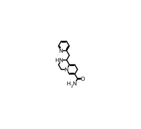 NC(=O)C1=CN2CCNC(Cc3ccccn3)C2=CC1